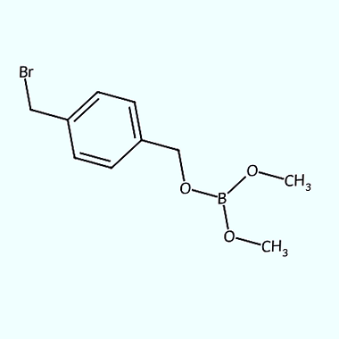 COB(OC)OCc1ccc(CBr)cc1